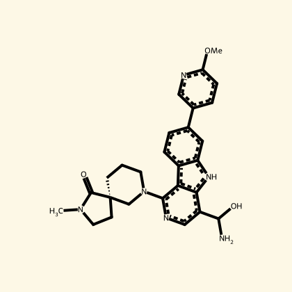 COc1ccc(-c2ccc3c(c2)[nH]c2c(C(N)O)cnc(N4CCC[C@@]5(CCN(C)C5=O)C4)c23)cn1